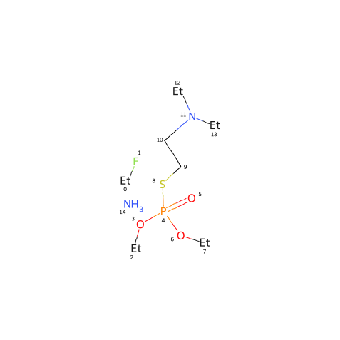 CCF.CCOP(=O)(OCC)SCCN(CC)CC.N